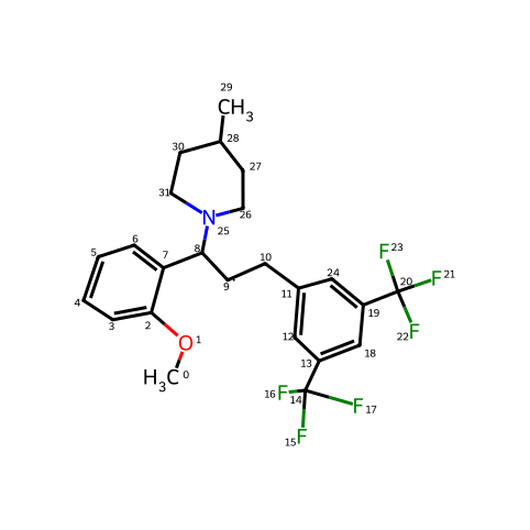 COc1ccccc1C([CH]Cc1cc(C(F)(F)F)cc(C(F)(F)F)c1)N1CCC(C)CC1